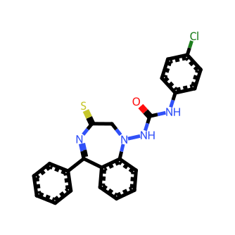 O=C(Nc1ccc(Cl)cc1)NN1CC(=S)N=C(c2ccccc2)c2ccccc21